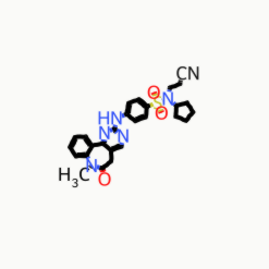 CN1C(=O)Cc2cnc(Nc3ccc(S(=O)(=O)N(CCC#N)C4CCCC4)cc3)nc2-c2ccccc21